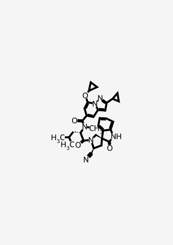 CC(C)C[C@@H](C(=O)N1C[C@]2(C[C@H]1C#N)C(=O)Nc1ccccc12)N(C)C(=O)c1cc(OC2CC2)n2nc(C3CC3)cc2c1